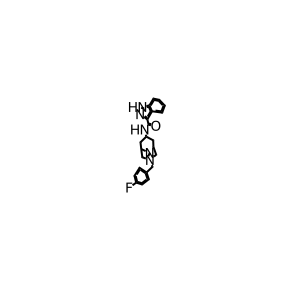 CN1C2CC(NC(=O)c3n[nH]c4ccccc34)CC1CN(Cc1ccc(F)cc1)C2